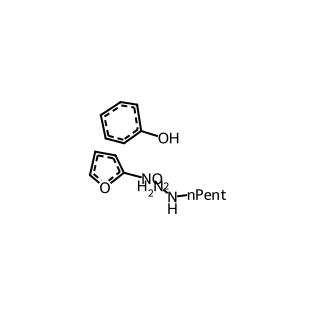 CCCCCNN.O=[N+]([O-])c1ccco1.Oc1ccccc1